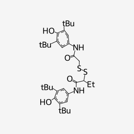 CCC(SSCC(=O)Nc1cc(C(C)(C)C)c(O)c(C(C)(C)C)c1)C(=O)Nc1cc(C(C)(C)C)c(O)c(C(C)(C)C)c1